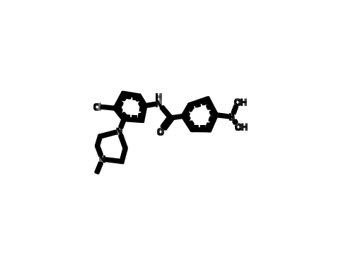 CN1CCN(c2cc(NC(=O)c3ccc(B(O)O)cc3)ccc2Cl)CC1